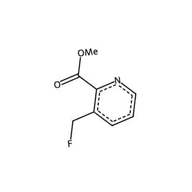 COC(=O)c1ncccc1CF